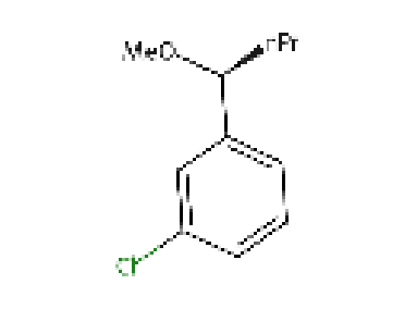 CCC[C@H](OC)c1cccc(Cl)c1